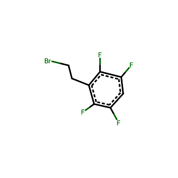 Fc1cc(F)c(F)c(CCBr)c1F